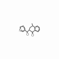 CC1CC(C(=O)c2cccnc2)C(=O)c2ccccc21